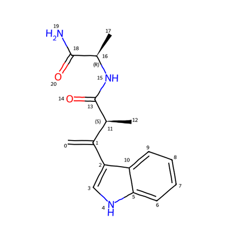 C=C(c1c[nH]c2ccccc12)[C@H](C)C(=O)N[C@H](C)C(N)=O